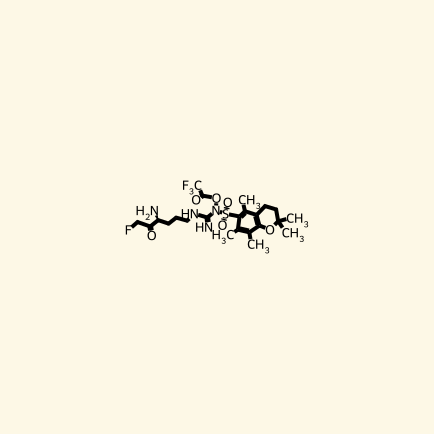 Cc1c(C)c(S(=O)(=O)N(OC(=O)C(F)(F)F)C(=N)NCCC[C@H](N)C(=O)CF)c(C)c2c1OC(C)(C)CC2